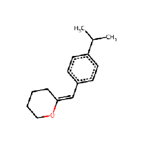 CC(C)c1ccc(C=C2CCCCO2)cc1